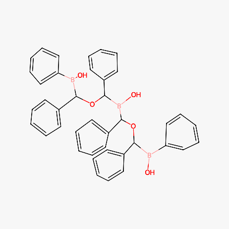 OB(c1ccccc1)C(OC(B(O)C(OC(B(O)c1ccccc1)c1ccccc1)c1ccccc1)c1ccccc1)c1ccccc1